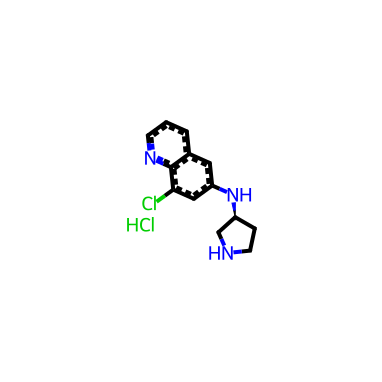 Cl.Clc1cc(N[C@H]2CCNC2)cc2cccnc12